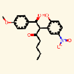 CCCCC(=O)C(C(=O)c1ccc(OC)cc1)c1cc([N+](=O)[O-])ccc1O